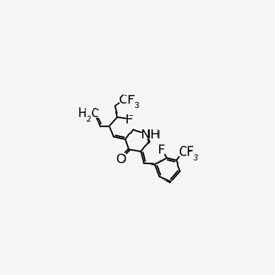 C=CC(/C=C1\CNC/C(=C\c2cccc(C(F)(F)F)c2F)C1=O)C(F)CC(F)(F)F